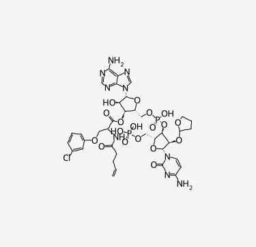 C=CCCC(=O)NC(COc1cccc(Cl)c1)C(=O)O[C@H]1[C@@H](O)[C@H](n2cnc3c(N)ncnc32)O[C@@H]1COP(=O)(O)O[C@H]1[C@@H](OC2CCCO2)[C@H](n2ccc(N)nc2=O)O[C@@H]1COP(=O)(O)O